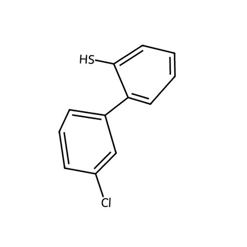 Sc1ccccc1-c1cccc(Cl)c1